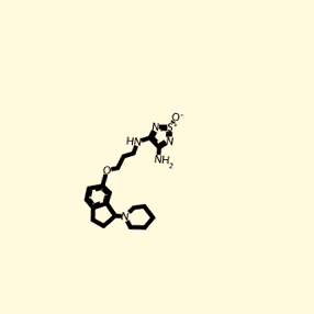 Nc1n[s+]([O-])nc1NCCCOc1ccc2c(c1)C(N1CCCCC1)CC2